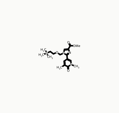 COC(=O)c1cn(COCC[Si](C)(C)C)c(-c2cc(C)c(=O)n(C)c2)n1